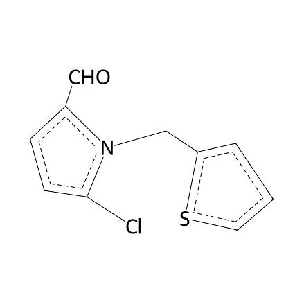 O=Cc1ccc(Cl)n1Cc1cccs1